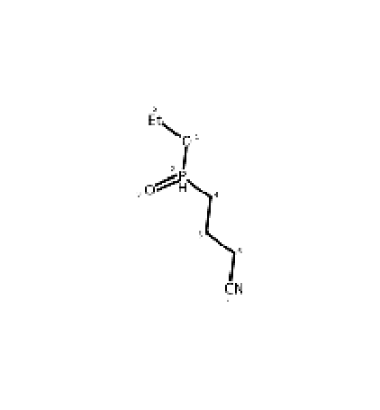 CCO[PH](=O)CCCC#N